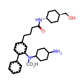 NC1CCC(N(C(=O)O)c2cc(CCCC(=O)N[C@H]3CC[C@H](CO)CC3)ccc2-c2ccccc2)CC1